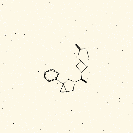 O=C1N[C@]2(CO1)C[C@H](C(=O)N1CC3CC3(c3ccccc3)C1)C2